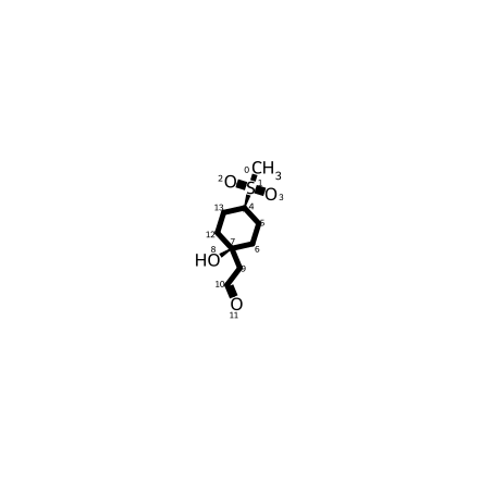 CS(=O)(=O)[C@H]1CC[C@](O)(CC=O)CC1